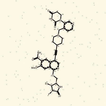 CC[C@@H]1[C@H](F)C(=O)N[C@@H]1COc1ncc(C#CC2CCN(Cc3ccncc3N3CCC(=O)NC3=O)CC2)c2cc(C(N)=O)c(OC)cc12